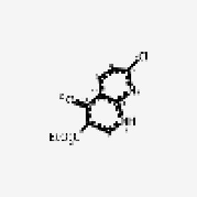 CCOC(=O)c1c[nH]c2nc(Cl)ccc2c1=O